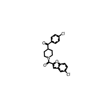 O=C(c1ccc(Cl)cc1)C1CCN(C(=O)c2cc3cc(Cl)ccc3o2)CC1